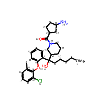 COCCCCC(O)(c1ccccc1Oc1c(C)cccc1Cl)C1CCCN(C(=O)C2CCC(N)C2)C1